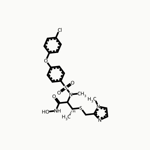 C[C@@H](SCc1nccn1C)C(C(=O)NO)N(C)S(=O)(=O)c1ccc(Oc2ccc(Cl)cc2)cc1